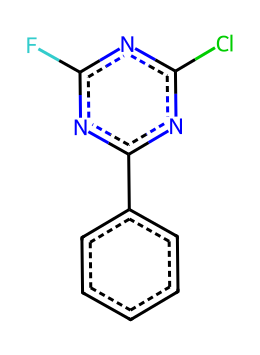 Fc1nc(Cl)nc(-c2ccccc2)n1